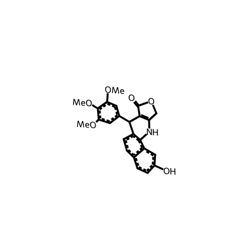 COc1cc(C2C3=C(COC3=O)Nc3c2ccc2ccc(O)cc32)cc(OC)c1OC